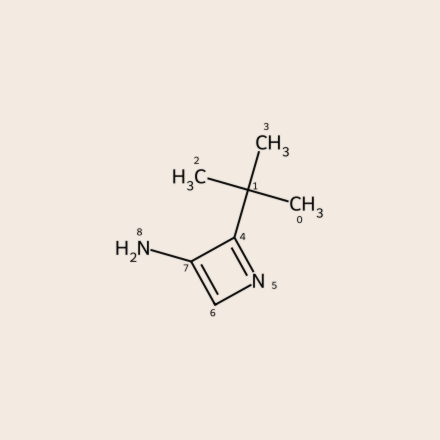 CC(C)(C)C1=NC=C1N